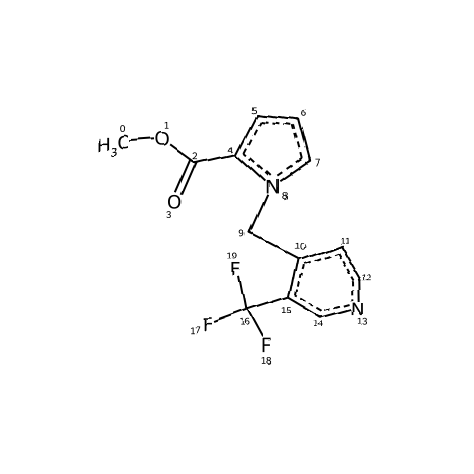 COC(=O)c1cccn1Cc1ccncc1C(F)(F)F